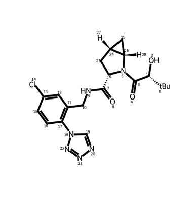 CC(C)(C)[C@@H](O)C(=O)N1[C@H](C(=O)NCc2cc(Cl)ccc2-n2cnnn2)C[C@@H]2C[C@@H]21